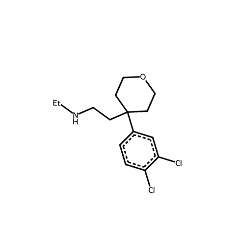 CCNCCC1(c2ccc(Cl)c(Cl)c2)CCOCC1